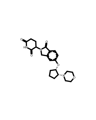 O=C1CCC(N2Cc3cc(O[C@H]4CCC[C@H]4N4CCOCC4)ccc3C2=O)C(=O)N1